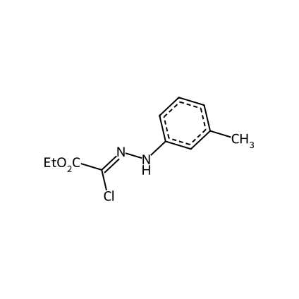 CCOC(=O)C(Cl)=NNc1cccc(C)c1